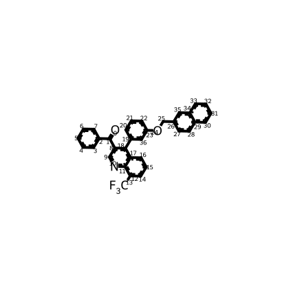 O=C(c1ccccc1)c1cnc2c(C(F)(F)F)cccc2c1-c1cccc(OCc2ccc3ccccc3c2)c1